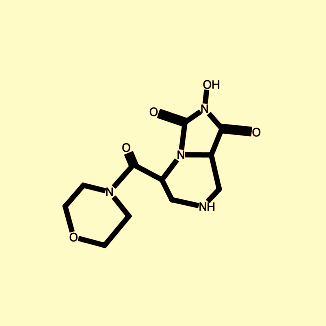 O=C(C1CNCC2C(=O)N(O)C(=O)N12)N1CCOCC1